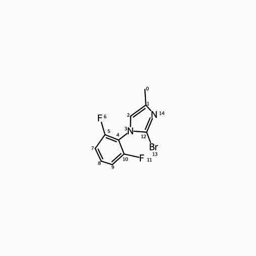 Cc1cn(-c2c(F)cccc2F)c(Br)n1